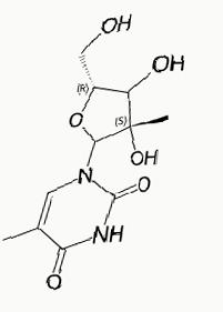 Cc1cn(C2O[C@H](CO)C(O)[C@]2(C)O)c(=O)[nH]c1=O